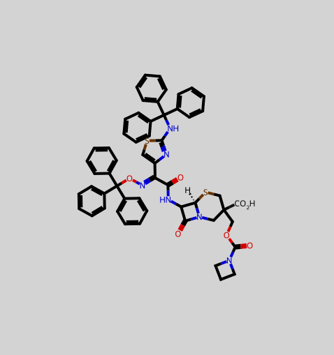 O=C(NC1C(=O)N2CC(COC(=O)N3CCC3)(C(=O)O)CS[C@H]12)C(=NOC(c1ccccc1)(c1ccccc1)c1ccccc1)c1csc(NC(c2ccccc2)(c2ccccc2)c2ccccc2)n1